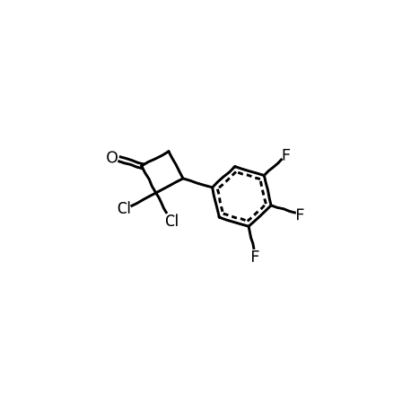 O=C1CC(c2cc(F)c(F)c(F)c2)C1(Cl)Cl